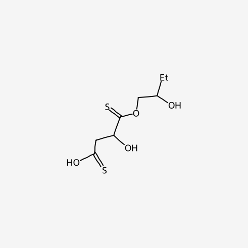 CCC(O)COC(=S)C(O)CC(O)=S